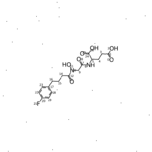 O=C(O)CCC(NC(=O)CN(O)C(=O)CCCc1ccc(F)cc1)C(=O)O